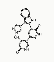 Cn1cc(-c2c(-c3cc(-c4ccc(=O)[nH]c4)n[nH]c3=O)[nH]c3ccccc23)cn1